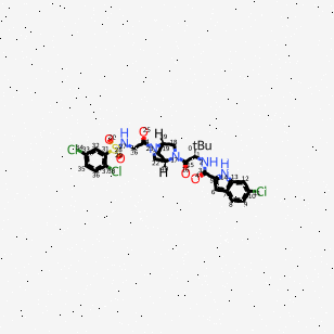 CC(C)(C)[C@H](NC(=O)c1cc2ccc(Cl)cc2[nH]1)C(=O)N1C[C@@H]2C[C@H]1CN2C(=O)CNS(=O)(=O)c1cc(Cl)ccc1Cl